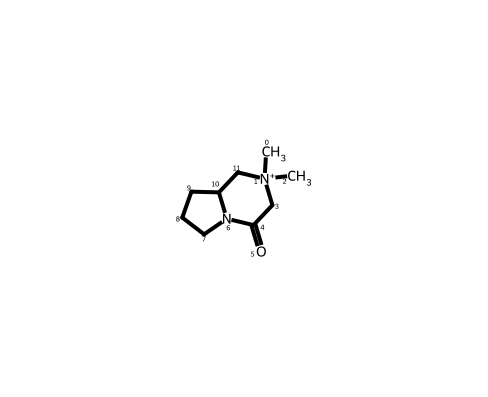 C[N+]1(C)CC(=O)N2CCCC2C1